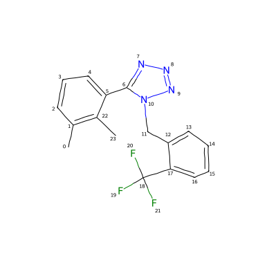 Cc1cccc(-c2nnnn2Cc2ccccc2C(F)(F)F)c1C